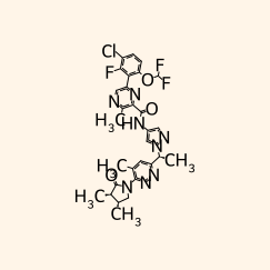 Cc1cc([C@H](C)n2cc(NC(=O)c3nc(-c4c(OC(F)F)ccc(Cl)c4F)cnc3C)cn2)nnc1N1C[C@@H](C)[C@@H](C)C1=O